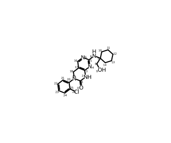 O=C1Nc2nc(NC3(CO)CCCCC3)ncc2CN1c1ccccc1Cl